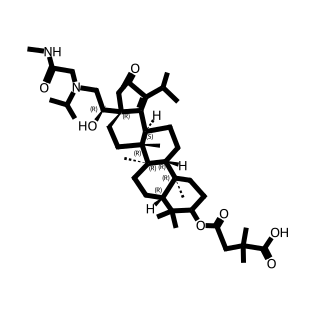 CNC(=O)CN(C[C@H](O)[C@@]12CC[C@]3(C)[C@H](CC[C@@H]4[C@@]5(C)CCC(OC(=O)CC(C)(C)C(=O)O)C(C)(C)[C@@H]5CC[C@]43C)C1=C(C(C)C)C(=O)C2)C(C)C